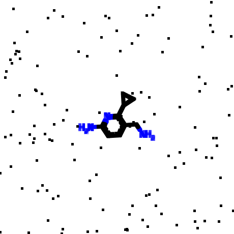 NCc1ccc(N)nc1C1CC1